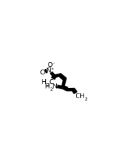 C=C/C=C(N)\C=C/C(=C)[N+](=O)[O-]